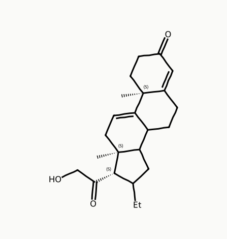 CCC1CC2C3CCC4=CC(=O)CC[C@]4(C)C3=CC[C@]2(C)[C@H]1C(=O)CO